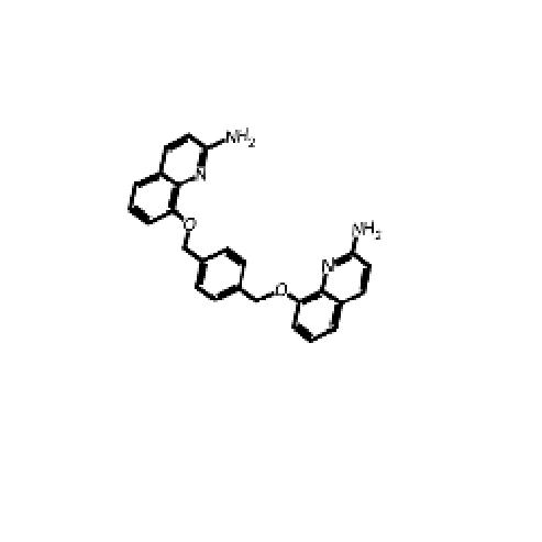 Nc1ccc2cccc(OCc3ccc(COc4cccc5ccc(N)nc45)cc3)c2n1